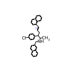 CC(NCc1ccc2ccccc2c1)C(C/C=C/c1cccc2ccccc12)c1ccc(Cl)cc1